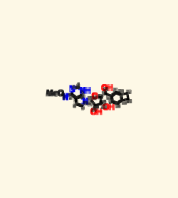 CO/N=c1\nc[nH]c2c1ccn2[C@@H]1O[C@H](C(O)c2ccc3c(c2)CC3)[C@H](O)[C@@H]1O